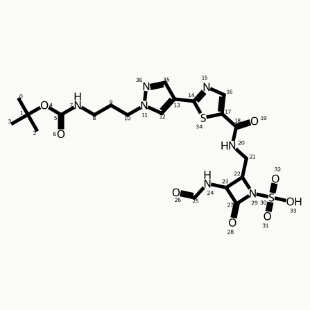 CC(C)(C)OC(=O)NCCCn1cc(-c2ncc(C(=O)NCC3C(NC=O)C(=O)N3S(=O)(=O)O)s2)cn1